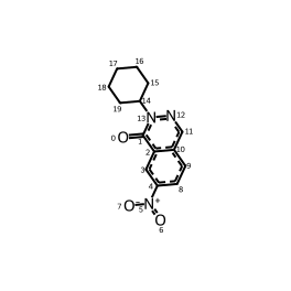 O=c1c2cc([N+](=O)[O-])ccc2cnn1C1CCCCC1